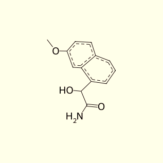 COc1ccc2cccc(C(O)C(N)=O)c2c1